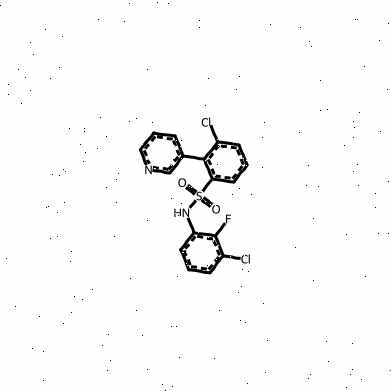 O=S(=O)(Nc1cccc(Cl)c1F)c1cccc(Cl)c1-c1cccnc1